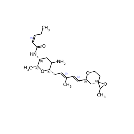 CC/C=C\C(=O)N[C@@H]1CC(N)[C@H](C/C=C(C)/C=C/[C@@H]2C[C@]3(CCO2)OC3C)O[C@@H]1C